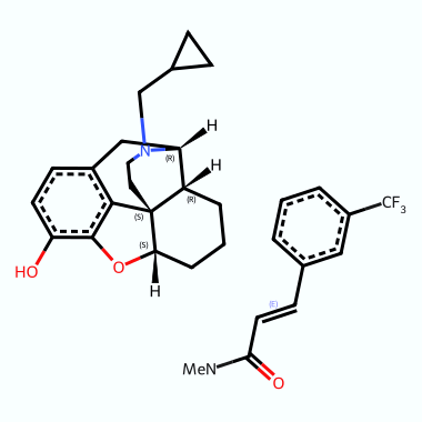 CNC(=O)/C=C/c1cccc(C(F)(F)F)c1.Oc1ccc2c3c1O[C@H]1CCC[C@H]4[C@@H](C2)N(CC2CC2)CC[C@]314